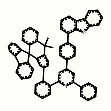 CC1(C)c2ccccc2C2(c3ccccc3-c3ccccc32)c2cc(-c3ccccc3-c3nc(-c4ccccc4)cc(-c4ccc(-c5cccc6c5oc5ccccc56)cc4)n3)ccc21